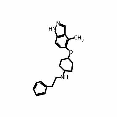 Cc1c(OC2CCC(NCCc3ccccc3)CC2)ccc2[nH]ncc12